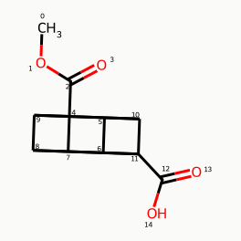 COC(=O)C12C3C4C1C1C2C3C41C(=O)O